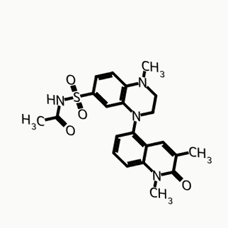 CC(=O)NS(=O)(=O)c1ccc2c(c1)N(c1cccc3c1cc(C)c(=O)n3C)CCN2C